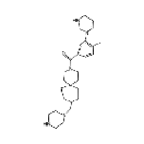 Cc1ccc(C(=O)N2CCC3(CCC(CN4CCNCC4)CC3)CC2)cc1N1C=CCNC1